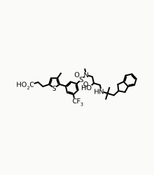 Cc1cc(CCC(=O)O)sc1-c1cc(C(F)(F)F)cc(S(=O)(=O)N(C)CC(O)CNC(C)(C)CC2Cc3ccccc3C2)c1